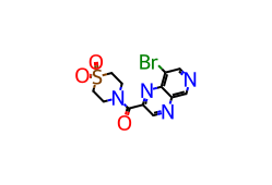 O=C(c1cnc2cncc(Br)c2n1)N1CCS(=O)(=O)CC1